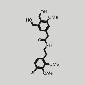 COc1cc(CC(=O)NCCc2ccc(Br)c(OC)c2OC)cc(CO)c1CO